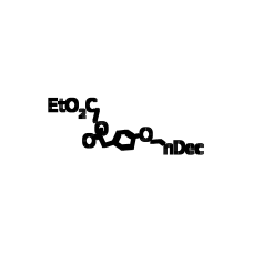 CCCCCCCCCCCCOc1ccc(CC(=O)OCCC(=O)OCC)cc1